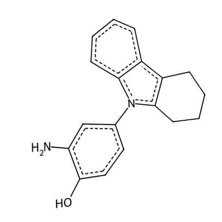 Nc1cc(-n2c3c(c4ccccc42)CCCC3)ccc1O